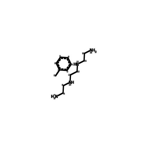 Cc1ccccc1.NCCNCCNCCN